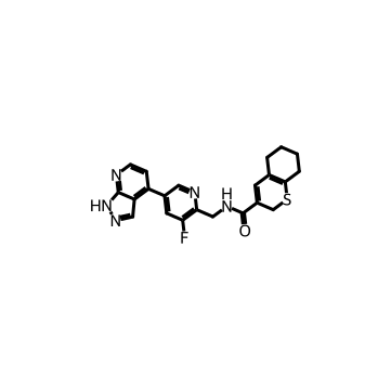 O=C(NCc1ncc(-c2ccnc3[nH]ncc23)cc1F)C1=CC2=C(CCCC2)SC1